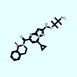 C[C@@H]1c2ccccc2CCN1C(=O)c1cc(C2CC2)n2nc(BOC(C)(C)C(C)(C)P)cc2n1